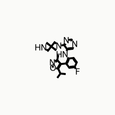 Cc1noc(C(C)C)c1-c1cc(F)ccc1Nc1cncnc1N1CC2(CNC2)C1